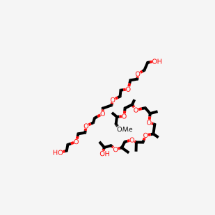 COCC(C)OCC(C)OCC(C)OCC(C)OCC(C)OCC(C)OCC(C)O.OCCOCCOCCOCCOCCOCCOCCO